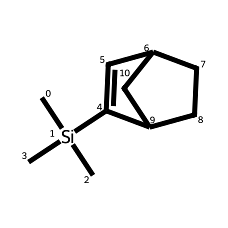 C[Si](C)(C)C1=CC2CCC1C2